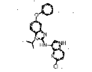 CC(C)n1c(Nc2c[nH]c3ccc(Cl)nc23)nc2cc(Oc3ccccc3)ccc21